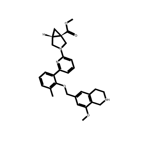 COC(=O)[C@]12C[C@H]1CN(c1cccc(-c3cccc(C)c3OCc3cc4c(c(OC)c3)CNCC4)n1)C2